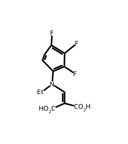 CCN(C=C(C(=O)O)C(=O)O)c1ccc(F)c(F)c1F